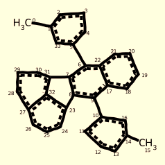 Cc1cccc(-c2c3c(c(-c4cccc(C)c4)c4ccccc24)-c2cccc4cccc-3c24)c1